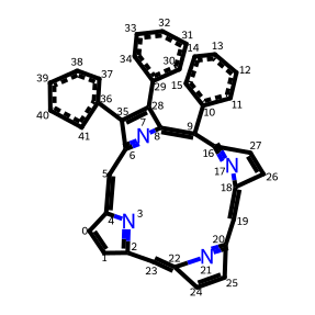 C1=CC2=NC1=CC1=NC(=C(c3ccccc3)C3=NC(=CC4=NC(=C2)C=C4)C=C3)C(c2ccccc2)=C1c1ccccc1